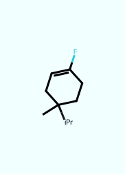 CC(C)C1(C)CC=C(F)CC1